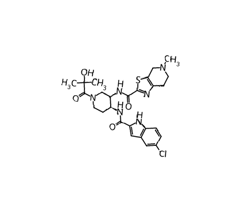 CN1CCc2nc(C(=O)N[C@@H]3CN(C(=O)C(C)(C)O)CC[C@@H]3NC(=O)c3cc4cc(Cl)ccc4[nH]3)sc2C1